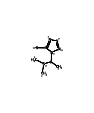 CC(N(C)C)n1nnnc1[S]